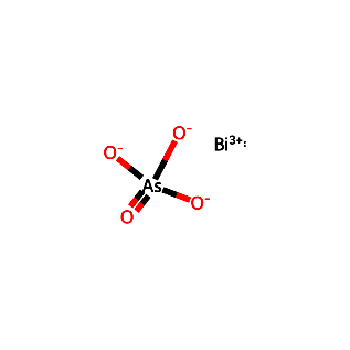 O=[As]([O-])([O-])[O-].[Bi+3]